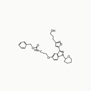 O=C(NCCCOc1ccc2c(c1)c(-c1cc(CCCO)no1)nn2C1CCCCO1)OCc1ccccc1